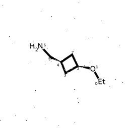 CCO[C@H]1C[C@@H](CN)C1